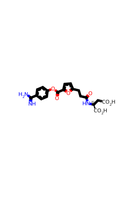 N=C(N)c1ccc(OC(=O)c2ccc(CCC(=O)N[C@@H](CC(=O)O)C(=O)O)o2)cc1